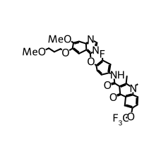 COCCCOc1cc2c(Oc3ccc(NC(=O)c4c(C)n(C)c5ccc(OC(F)(F)F)cc5c4=O)cc3F)ncnc2cc1OC